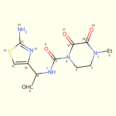 CCN1CCN(C(=O)NC([C]=O)c2csc(N)n2)C(=O)C1=O